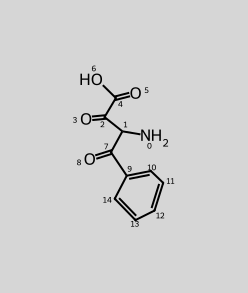 NC(C(=O)C(=O)O)C(=O)c1ccccc1